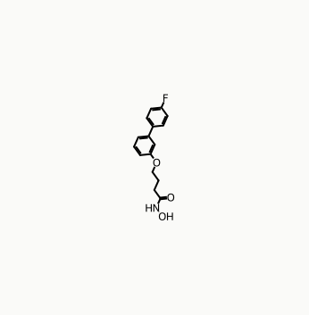 O=C(CCCOc1cccc(-c2ccc(F)cc2)c1)NO